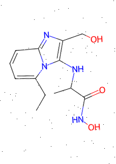 CCc1cccc2nc(CO)c(NC(C)C(=O)NO)n12